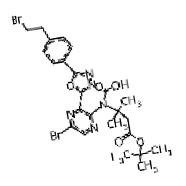 CC(C)(C)OC(=O)CC(C)(C)N(C(=O)O)c1ncc(Br)nc1-c1nnc(-c2ccc(CCBr)cc2)o1